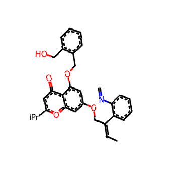 C=Nc1ccccc1/C(=C\C)COc1cc(OCc2ccccc2CO)c2c(=O)cc(C(C)C)oc2c1